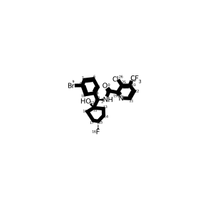 O=C(N[C@H](c1cccc(Br)c1)[C@]1(O)CC[C@H](F)CC1)c1nccc(C(F)(F)F)c1Cl